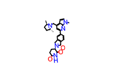 C[C@@H]1CC[C@@H](C)N1Cc1cc(-c2ccc3c(c2)CN(C2CCC(=O)NC2=O)C3=O)nc2c1ccn2C